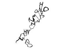 O=C1NC(=O)/C(=C\c2ccnc(N3CCC(CNCc4cccnc4-c4cc5ccccc5o4)CC3)n2)S1